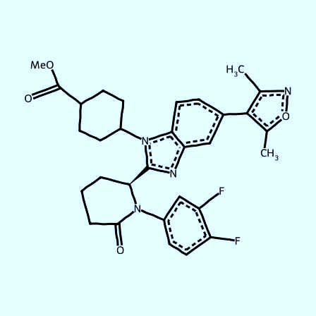 COC(=O)C1CCC(n2c([C@@H]3CCCC(=O)N3c3ccc(F)c(F)c3)nc3cc(-c4c(C)noc4C)ccc32)CC1